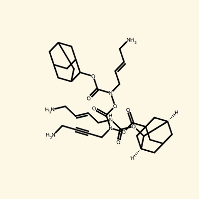 NCC#CCN(OC(=O)C12CC3C[C@H](C1)C(OC(=O)NC/C=C/CN)[C@@H](C3)C2)C(=O)ON(C/C=C/CN)C(=O)OC1C2CC3CC(C2)CC1C3